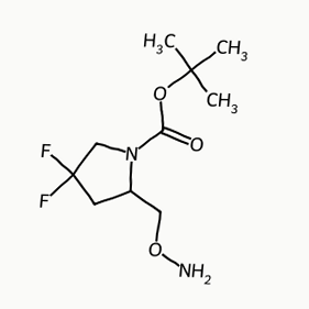 CC(C)(C)OC(=O)N1CC(F)(F)CC1CON